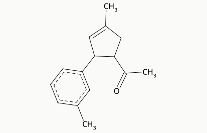 CC(=O)C1CC(C)=CC1c1cccc(C)c1